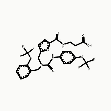 O=C(O)CCNC(=O)c1ccc(CN(Cc2ccccc2OC(F)(F)F)C(=O)Nc2ccc(SC(F)(F)F)cc2)s1